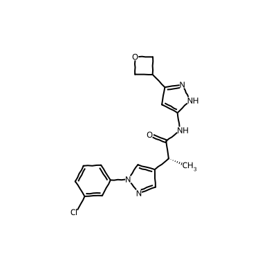 C[C@@H](C(=O)Nc1cc(C2COC2)n[nH]1)c1cnn(-c2cccc(Cl)c2)c1